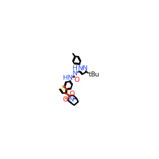 Cc1ccc(-n2nc(C(C)(C)C)cc2NC(=O)Nc2ccc(CC3CC4CCC(C3)N4S(=O)(=O)c3ccsc3)cc2)cc1